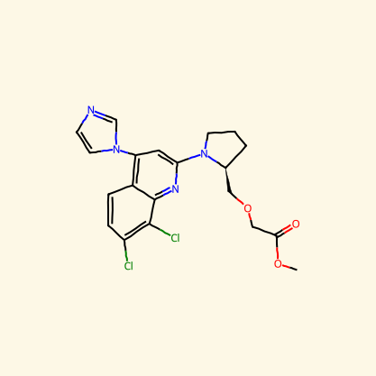 COC(=O)COC[C@@H]1CCCN1c1cc(-n2ccnc2)c2ccc(Cl)c(Cl)c2n1